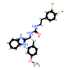 COc1ccc(C[C@@H](NC(=O)NCCc2ccc(F)c(F)c2)c2nc3ccccc3[nH]2)cc1